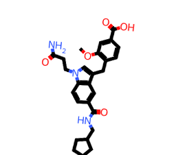 COc1cc(C(=O)O)ccc1Cc1cn(CCC(N)=O)c2ccc(C(=O)NCC3CCCC3)cc12